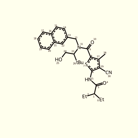 CCC(CC)C(=O)Nc1sc(C(=O)N(Cc2ccc3ccccc3c2)C(CO)C(C)(C)C)c(C)c1C#N